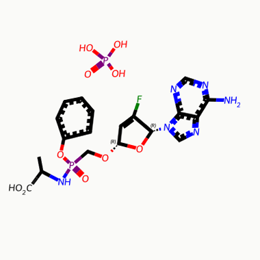 CC(NP(=O)(CO[C@@H]1C=C(F)[C@H](n2cnc3c(N)ncnc32)O1)Oc1ccccc1)C(=O)O.O=P(O)(O)O